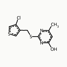 Cc1cc(O)nc(SCc2cscc2Cl)n1